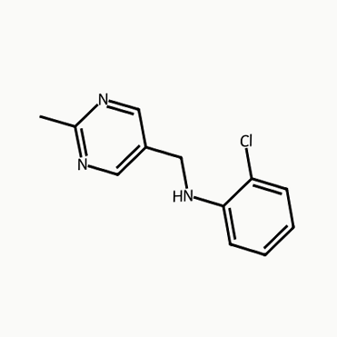 Cc1ncc(CNc2ccccc2Cl)cn1